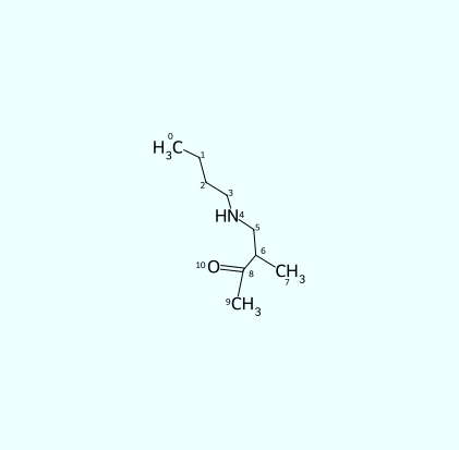 CCCCNCC(C)C(C)=O